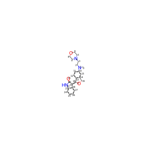 CN(CCN1CCOCC1)c1ccc2c(c1)COC2=C1C(=O)Nc2ccccc21